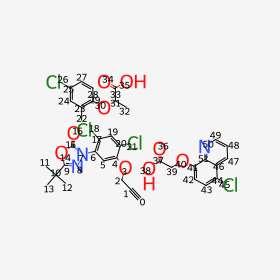 C#CCOc1cc(-n2nc(C(C)(C)C)oc2=O)c(Cl)cc1Cl.Cc1cc(Cl)ccc1OC(C)C(=O)O.O=C(O)COc1ccc(Cl)c2cccnc12